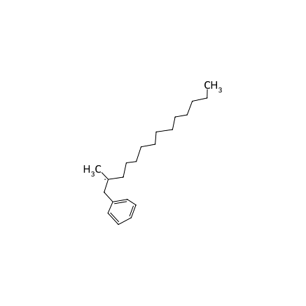 CCCCCCCCCCCC[C](C)Cc1ccccc1